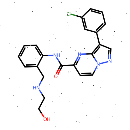 O=C(Nc1ccccc1CNCCO)c1ccn2ncc(-c3cccc(Cl)c3)c2n1